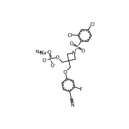 N#Cc1ccc(OCC2(COP(=O)([O-])[O-])CN(S(=O)(=O)c3ccc(Cl)cc3Cl)C2)cc1F.[Na+].[Na+]